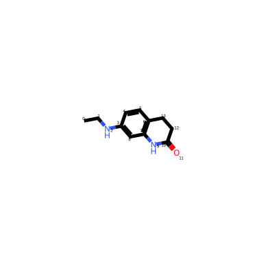 CCNc1ccc2c(c1)NC(=O)CC2